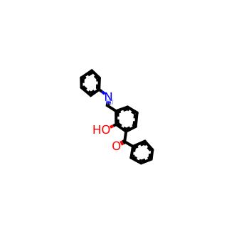 O=C(c1ccccc1)c1cccc(/C=N/c2ccccc2)c1O